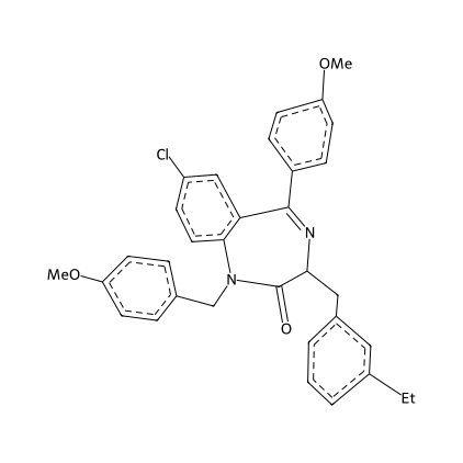 CCc1cccc(CC2N=C(c3ccc(OC)cc3)c3cc(Cl)ccc3N(Cc3ccc(OC)cc3)C2=O)c1